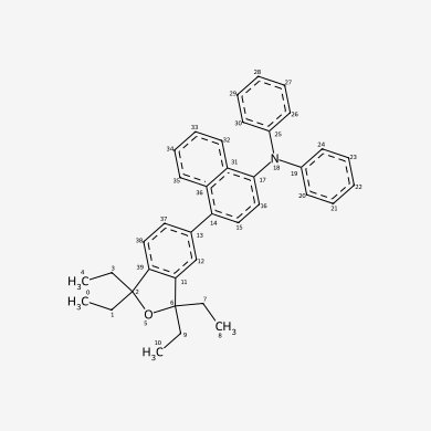 CCC1(CC)OC(CC)(CC)c2cc(-c3ccc(N(c4ccccc4)c4ccccc4)c4ccccc34)ccc21